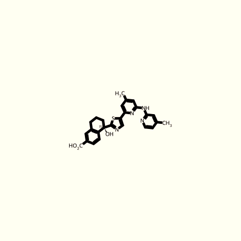 Cc1ccnc(Nc2cc(C)cc(-c3cnc([C@]4(O)CCCc5cc(C(=O)O)ccc54)s3)n2)c1